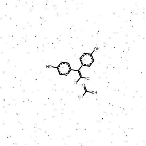 O=C(O)O.Oc1ccc(C(=C(Cl)Cl)c2ccc(O)cc2)cc1